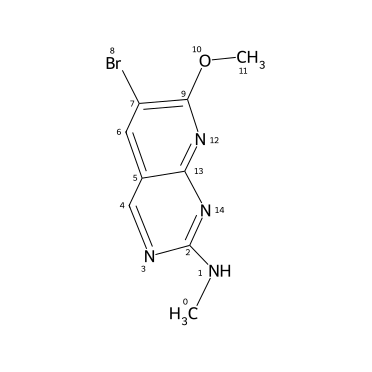 CNc1ncc2cc(Br)c(OC)nc2n1